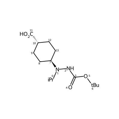 CC(C)N(NC(=O)OC(C)(C)C)[C@H]1CC[C@H](C(=O)O)CC1